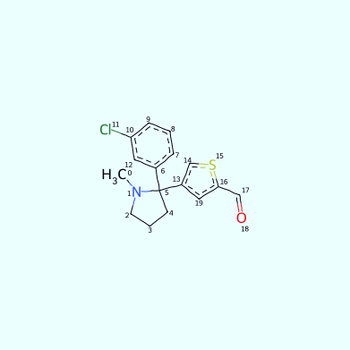 CN1CCCC1(c1cccc(Cl)c1)c1csc(C=O)c1